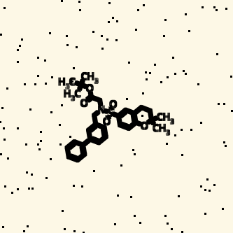 CC(C)(C)OC(=O)CN(Cc1cccc(-c2ccccc2)c1)S(=O)(=O)c1ccc2c(c1)CCC(C)(C)O2